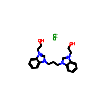 OCC[n+]1cn(CCCn2c[n+](CCO)c3ccccc32)c2ccccc21.[Cl-].[Cl-]